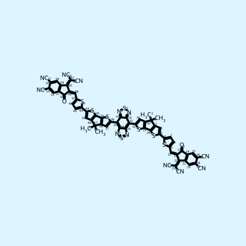 CC1(C)c2cc(-c3ccc(/C=C4\C(=O)c5cc(C#N)c(C#N)cc5C4=C(C#N)C#N)s3)sc2-c2sc(-c3c4c(c(-c5cc6c(s5)-c5sc(-c7ccc(/C=C8\C(=O)c9cc(C#N)c(C#N)cc9C8=C(C#N)C#N)s7)cc5C6(C)C)c5nsnc35)N=S=N4)cc21